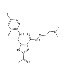 CC(=O)c1cc(C(=O)NOCCN(C)C)c(CNc2ccc(I)cc2F)[nH]1